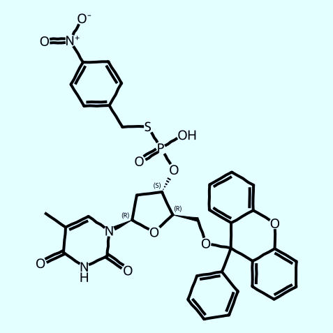 Cc1cn([C@H]2C[C@H](OP(=O)(O)SCc3ccc([N+](=O)[O-])cc3)[C@@H](COC3(c4ccccc4)c4ccccc4Oc4ccccc43)O2)c(=O)[nH]c1=O